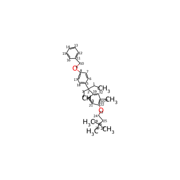 CCC(CC)(c1ccc(OCc2ccccc2)cc1)c1ccc(OCCC(C)(C)C)c(C)c1